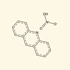 O=[N+]([O-])O.c1ccc2nc3ccccc3cc2c1